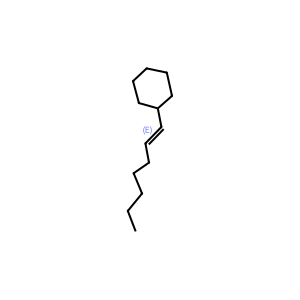 CCCCC/C=C/C1CCCCC1